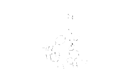 Cc1cc(N(C)CCN(C)C)c([N+](=O)[O-])cc1Nc1ncc(Cl)c(-c2cn3c4c(cccc24)OCC3)n1